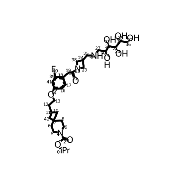 CC(C)OC(=O)N1CCC2(CC1)CC(CCOc1ccc(CC(=O)N3CC(CNC[C@H](O)[C@@H](O)[C@H](O)[C@H](O)CO)C3)c(F)c1)C2